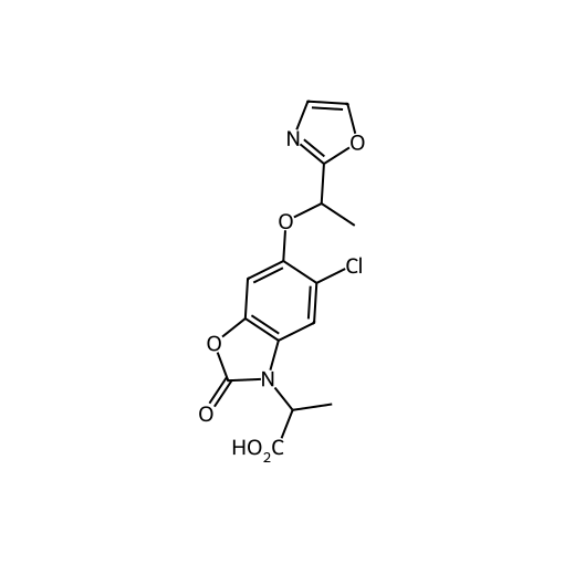 CC(Oc1cc2oc(=O)n(C(C)C(=O)O)c2cc1Cl)c1ncco1